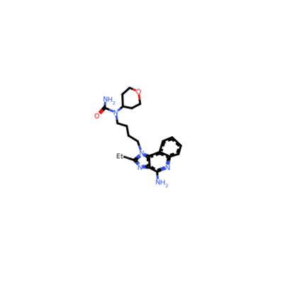 CCc1nc2c(N)nc3ccccc3c2n1CCCCN(C(N)=O)C1CCOCC1